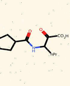 CCCC(NC(=O)C1CCCC1)C(=O)C(=O)O